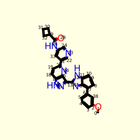 COc1cccc(-c2cccc3[nH]c(-c4n[nH]c5ccc(-c6cncc(NC(=O)C7CCC7)c6)nc45)nc23)c1